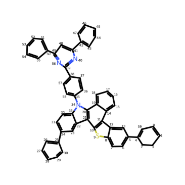 C1=CCCC(c2ccc3sc4c(c3c2)c2ccccc2c2c4c3cc(-c4ccccc4)ccc3n2-c2ccc(-c3nc(-c4ccccc4)cc(-c4ccccc4)n3)cc2)=C1